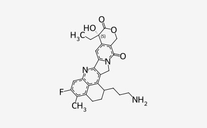 CC[C@@]1(O)C(=O)OCc2c1cc1n(c2=O)Cc2c-1nc1cc(F)c(C)c3c1c2C(CCCN)CC3